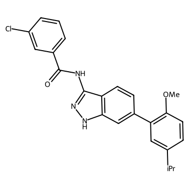 COc1ccc(C(C)C)cc1-c1ccc2c(NC(=O)c3cccc(Cl)c3)n[nH]c2c1